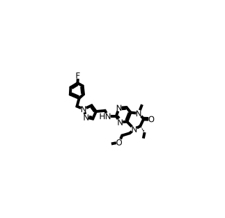 CC[C@H]1C(=O)N(C)c2cnc(NCc3cnn(Cc4ccc(F)cc4)c3)nc2N1CCOC